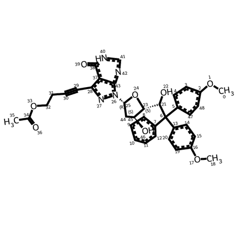 COc1ccc(C(c2ccccc2)(c2ccc(OC)cc2)C(O)[C@H]2O[C@@H](n3nc(C#CCCOC(C)=O)c4c(=O)[nH]cnc43)C[C@@H]2O)cc1